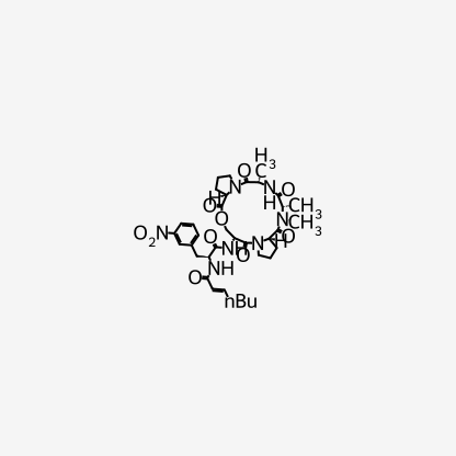 CCCC/C=C/C(=O)N[C@@H](Cc1cccc([N+](=O)[O-])c1)C(=O)N[C@H]1COC(=O)[C@@H]2CCCN2C(=O)[C@H](C)NC(=O)[C@H](C)N(C)C(=O)[C@@H]2CCCN2C1=O